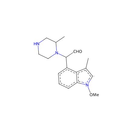 COn1[c]c(C)c2c(C(C=O)N3CCNCC3C)cccc21